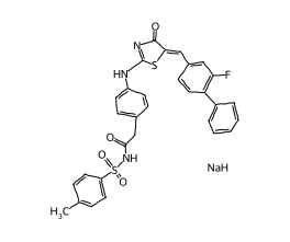 Cc1ccc(S(=O)(=O)NC(=O)Cc2ccc(NC3=NC(=O)C(=Cc4ccc(-c5ccccc5)c(F)c4)S3)cc2)cc1.[NaH]